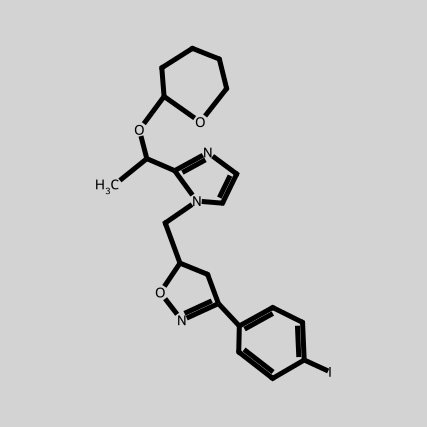 CC(OC1CCCCO1)c1nccn1CC1CC(c2ccc(I)cc2)=NO1